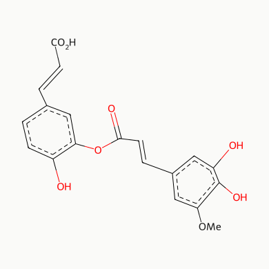 COc1cc(C=CC(=O)Oc2cc(C=CC(=O)O)ccc2O)cc(O)c1O